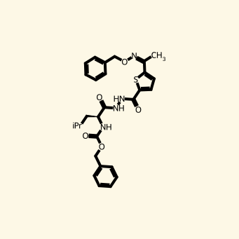 CC(=NOCc1ccccc1)c1ccc(C(=O)NNC(=O)[C@H](CC(C)C)NC(=O)OCc2ccccc2)s1